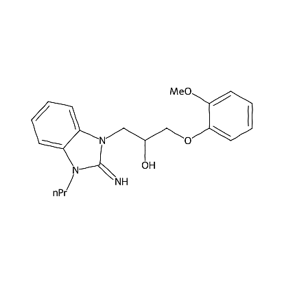 CCCn1c(=N)n(CC(O)COc2ccccc2OC)c2ccccc21